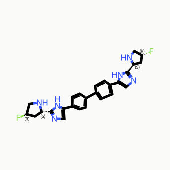 F[C@H]1CN[C@H](c2ncc(-c3ccc(-c4ccc(-c5cnc([C@@H]6C[C@@H](F)CN6)[nH]5)cc4)cc3)[nH]2)C1